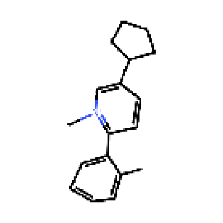 Cc1ccccc1-c1ccc(C2CCCC2)c[n+]1C